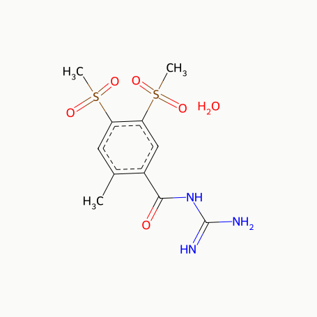 Cc1cc(S(C)(=O)=O)c(S(C)(=O)=O)cc1C(=O)NC(=N)N.O